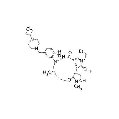 C=C1C2=CC(=CN1/C=C\CC)C(=O)/N=C1\Nc3ccc(CN4CCN(C5COC5)CC4)cc3N1CC(C)CCCOC1=C2CNN1C